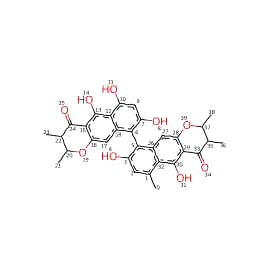 Cc1cc(O)c(-c2c(O)cc(O)c3c(O)c4c(cc23)OC(C)C(C)C4=O)c2cc3c(c(O)c12)C(=O)C(C)C(C)O3